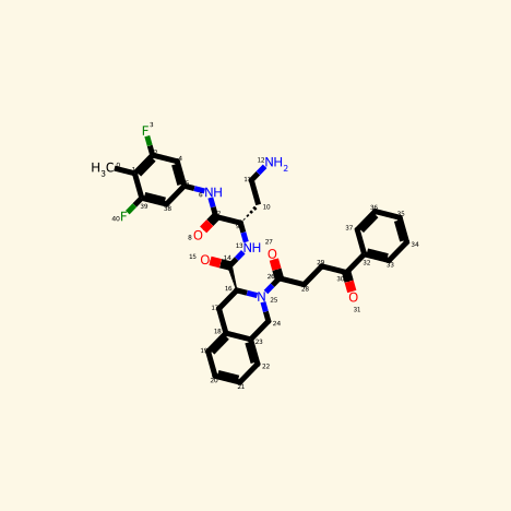 Cc1c(F)cc(NC(=O)[C@H](CCN)NC(=O)[C@@H]2Cc3ccccc3CN2C(=O)CCC(=O)c2ccccc2)cc1F